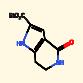 CCOC(=O)c1cc2c([nH]1)CCNC2=O